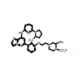 CC1CCCN1c1cccc(Nc2cc(-c3cccc(OCCN4CCN(C(=O)O)C(C(C)(C)C)C4)c3)nn3ccnc23)n1